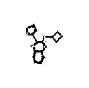 c1csc(-c2nc3ccccc3nc2OC2CCC2)c1